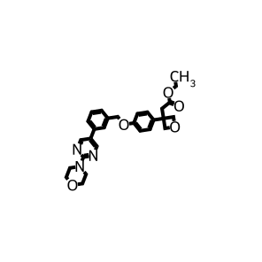 CCOC(=O)CC1(c2ccc(OCc3cccc(-c4cnc(N5CCOCC5)nc4)c3)cc2)COC1